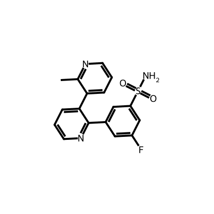 Cc1ncccc1-c1cccnc1-c1cc(F)cc(S(N)(=O)=O)c1